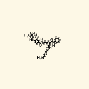 CC(C)(C)OC(=O)Nc1ccc(C(=O)NCCCC[C@H](NC(=O)COCCOCCN)C(=O)NC2CCCCCC2)cc1